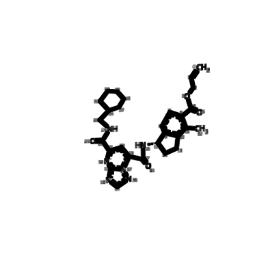 C=CCOC(=O)c1ccc2c(c1C)CC[C@@H]2NC(=O)c1cc(C(=O)NCC2CCCCC2)nc2ncnn12